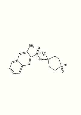 Nc1cc2ccccc2cc1C(=O)NC1(C(=O)O)CCS(=O)(=O)CC1